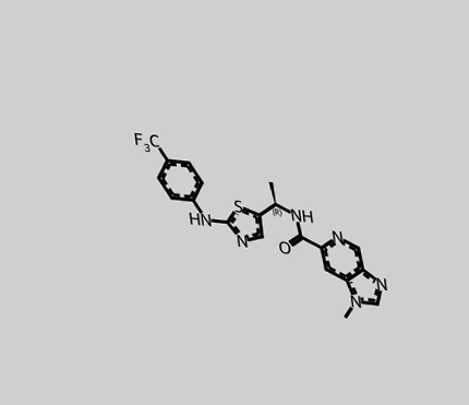 C[C@@H](NC(=O)c1cc2c(cn1)ncn2C)c1cnc(Nc2ccc(C(F)(F)F)cc2)s1